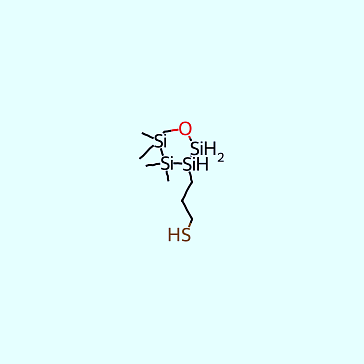 C[Si]1(C)CO[SiH2][SiH](CCCS)[Si]1(C)C